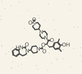 Cc1cc(C[C@@H](OC(=O)N2CCC(N3CCc4ccccc4NC3=O)CC2)C(=O)N2CCN(C3CCS(=O)(=O)CC3)CC2)cc(C)c1O